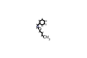 CCCCO/N=[C]\C1CCCCC1